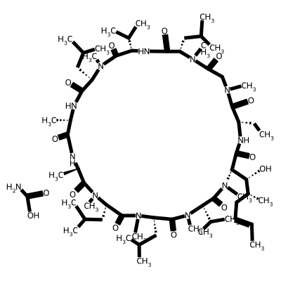 C/C=C/C[C@@H](C)[C@@H](O)[C@H]1C(=O)N[C@@H](CC)C(=O)N(C)CC(=O)N(C)[C@@H](CC(C)C)C(=O)N[C@@H](C(C)C)C(=O)N(C)[C@@H](CC(C)C)C(=O)N[C@@H](C)C(=O)N[C@H](C)C(=O)N(C)[C@@H](CC(C)C)C(=O)N(C)[C@@H](CC(C)C)C(=O)N(C)[C@@H](C(C)C)C(=O)N1C.NC(=O)O